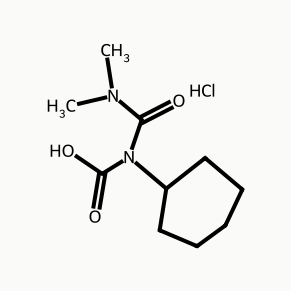 CN(C)C(=O)N(C(=O)O)C1CCCCC1.Cl